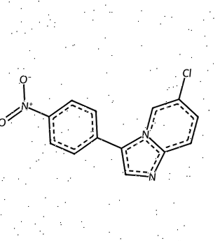 O=[N+]([O-])c1ccc(-c2cnc3ccc(Cl)cn23)cc1